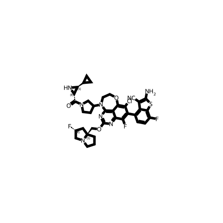 N#Cc1c(N)sc2c(F)ccc(-c3c(Cl)c4c5c(nc(OC[C@@]67CCCN6C[C@H](F)C7)nc5c3F)N(C3CCN(C(=O)[C@@H]5N[C@H]5C5CC5)C3)CCO4)c12